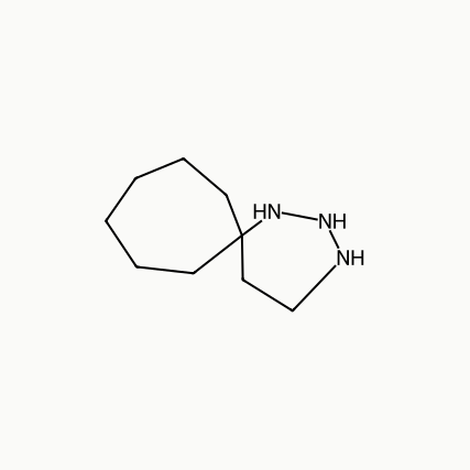 C1CCCC2(CC1)CCNNN2